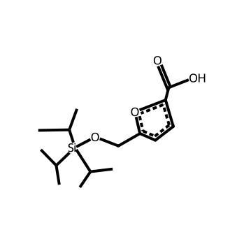 CC(C)[Si](OCc1ccc(C(=O)O)o1)(C(C)C)C(C)C